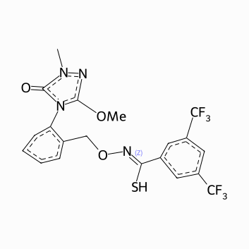 COc1nn(C)c(=O)n1-c1ccccc1CO/N=C(\S)c1cc(C(F)(F)F)cc(C(F)(F)F)c1